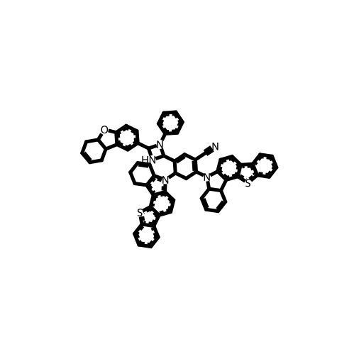 N#CC1=C(N2c3ccc4c(sc5ccccc54)c3C3C=CC=CC32)CC(n2c3c(c4c5sc6ccccc6c5ccc42)CCC=C3)C(C2NC(c3ccc4c(c3)C3CC=CCC3O4)N2c2ccccc2)=C1